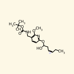 CC/C=C\CC(O)Oc1ccc(CNC(=O)OC(C)(C)C)c(OC)n1